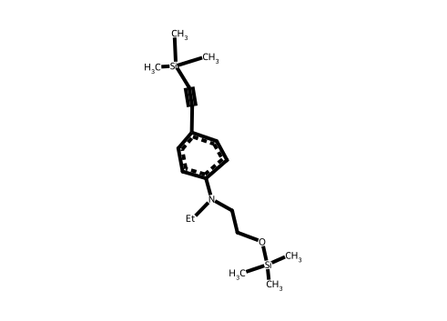 CCN(CCO[Si](C)(C)C)c1ccc(C#C[Si](C)(C)C)cc1